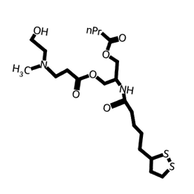 CCCC(=O)OCC(COC(=O)CCN(C)CCO)NC(=O)CCCCC1CCSS1